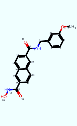 COc1cccc(CNC(=O)c2ccc3cc(C(=O)NO)ccc3c2)c1